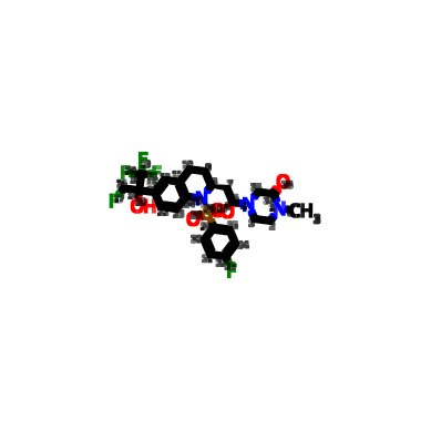 CN1CCN(C(=O)C[C@@H]2CCc3cc(C(O)(CF)C(F)(F)F)ccc3N2S(=O)(=O)c2ccc(F)cc2)CC1=O